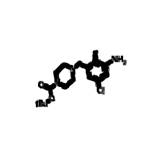 Cc1c(N)cc(Cl)cc1CN1CCN(C(=O)OC(C)(C)C)CC1